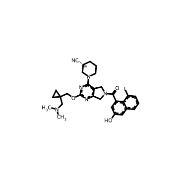 CN(C)CC1(COc2nc3c(c(N4CCC[C@@H](C#N)C4)n2)CN(C(=O)c2cc(O)cc4cccc(I)c24)C3)CC1